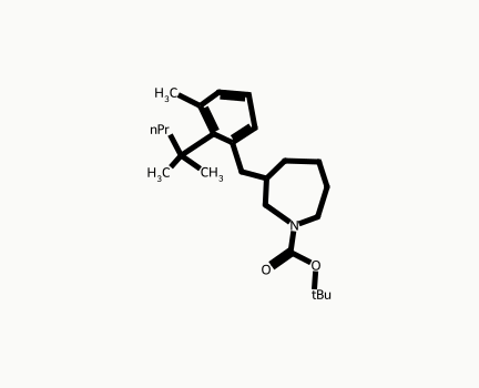 CCCC(C)(C)c1c(C)cccc1CC1CCCCN(C(=O)OC(C)(C)C)C1